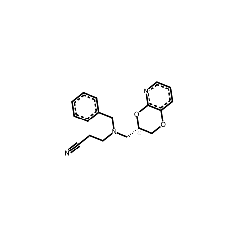 N#CCCN(Cc1ccccc1)C[C@H]1COc2cccnc2O1